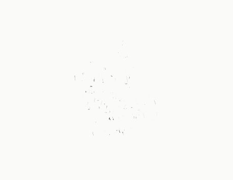 CC(=CCCC[Si](O[Si](C)(O[Si](C)(C)C)O[Si](C)(C)C)(O[Si](C)(O[Si](C)(C)C)O[Si](C)(C)C)O[Si](C)(O[Si](C)(C)C)O[Si](C)(C)C)C(=O)O